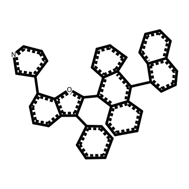 c1ccc(-c2c(-c3c4ccccc4c(-c4cccc5ccccc45)c4ccccc34)oc3c(-c4cccnc4)cccc23)cc1